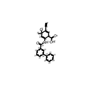 C#CC1=CC(C(=O)O)C(NC(=O)c2cccc(-c3ccccc3)c2)=CC1(C)Cl